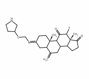 C=C1CC2C(C(=O)C(F)[C@]3(C)C(=O)CCC23)[C@@]2(C)CC/C(=N\COC3CCNC3)CC12